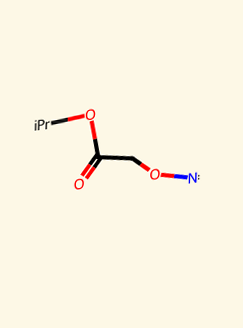 CC(C)OC(=O)CO[N]